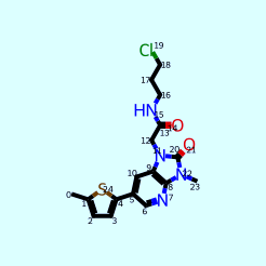 Cc1ccc(-c2cnc3c(c2)n(CC(=O)NCCCCl)c(=O)n3C)s1